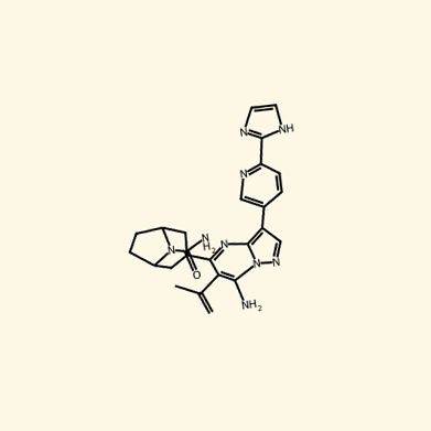 C=C(C)c1c(C2CC3CCC(C2)N3C(N)=O)nc2c(-c3ccc(-c4ncc[nH]4)nc3)cnn2c1N